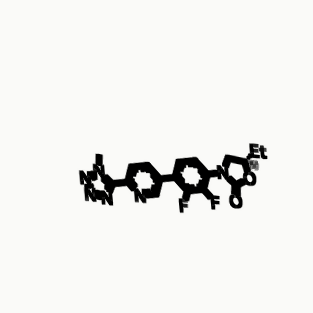 CC[C@H]1CN(c2ccc(-c3ccc(-c4nnnn4C)nc3)c(F)c2F)C(=O)O1